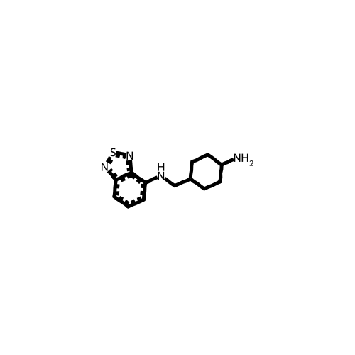 NC1CCC(CNc2cccc3nsnc23)CC1